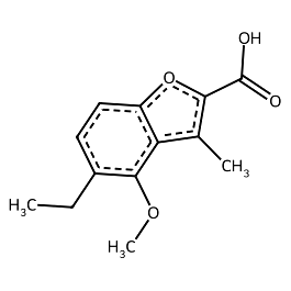 CCc1ccc2oc(C(=O)O)c(C)c2c1OC